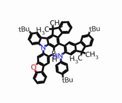 CC(C)(C)c1ccc(Nc2cc3c(cc2-c2c4c(c5c6cc(C(C)(C)C)ccc6n6c5c2Bc2cc5c(cc2-6)oc2ccccc25)C(C)(C)c2ccccc2-4)-c2cc(C(C)(C)C)ccc2C3(C)C)cc1